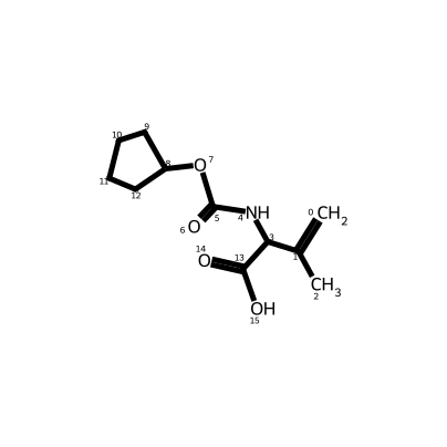 C=C(C)C(NC(=O)OC1CCCC1)C(=O)O